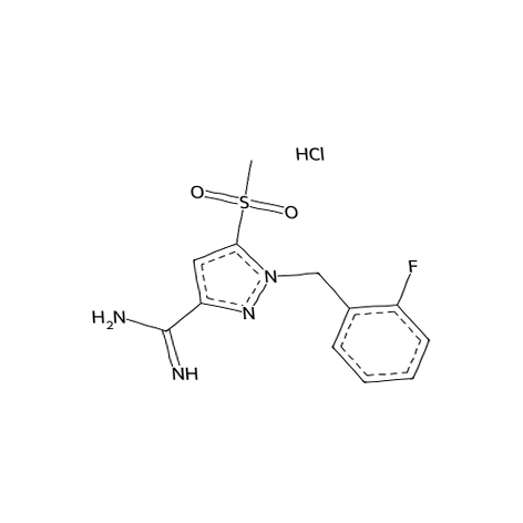 CS(=O)(=O)c1cc(C(=N)N)nn1Cc1ccccc1F.Cl